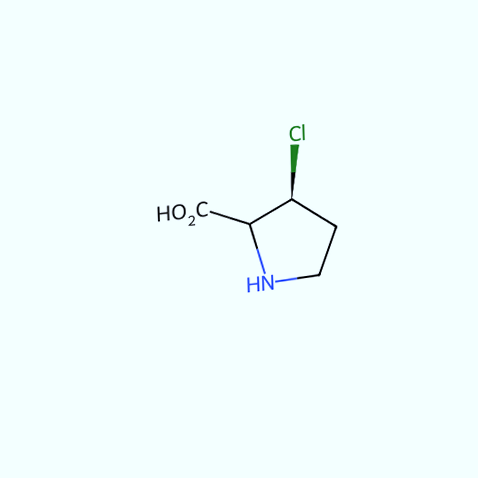 O=C(O)C1NCC[C@@H]1Cl